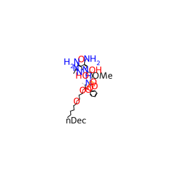 CCCCCCCCCCCCCCCCOCCCOC(=O)[C@H](C)NP(=O)(OCC(OC)[C@@H](O)[C@@H](O)n1cc(C(N)=O)c2c(N)nc(C)nc21)Oc1ccccc1